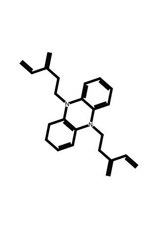 C=CC(=C)CCN1C2=C(CCC=C2)N(CCC(=C)C=C)c2ccccc21